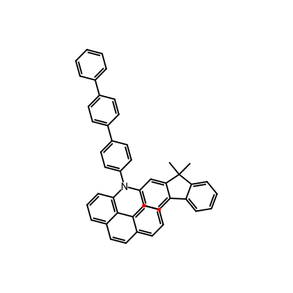 CC1(C)c2ccccc2-c2ccc(N(c3ccc(-c4ccc(-c5ccccc5)cc4)cc3)c3cccc4ccc5ccccc5c34)cc21